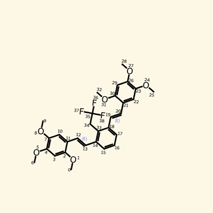 COc1cc(OC)c(OC)cc1/C=C/c1cccc(/C=C/c2cc(OC)c(OC)cc2OC)c1CC(F)(F)F